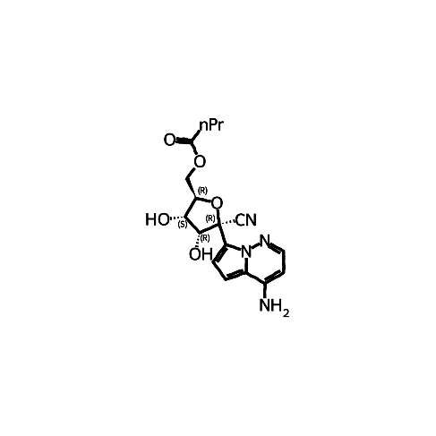 CCCC(=O)OC[C@H]1O[C@@](C#N)(c2ccc3c(N)ccnn23)[C@H](O)[C@@H]1O